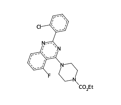 CCOC(=O)N1CCN(c2nc(-c3ccccc3Cl)nc3cccc(F)c23)CC1